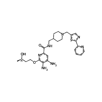 C[C@@H](O)CCOc1nc(C(=O)NCC2CCN(Cc3cnc(-c4ccccn4)s3)CC2)cc(N)c1N